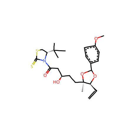 C=C[C@@H]1OC(c2ccc(OC)cc2)O[C@]1(C)CC[C@@H](O)CC(=O)N1C(=S)SC[C@@H]1C(C)(C)C